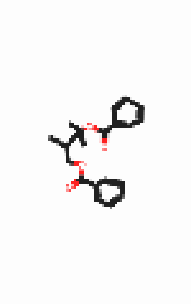 CC(COC(=O)c1ccccc1)C(C)(C)OC(=O)c1ccccc1